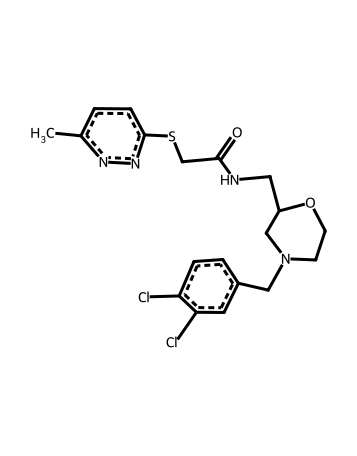 Cc1ccc(SCC(=O)NCC2CN(Cc3ccc(Cl)c(Cl)c3)CCO2)nn1